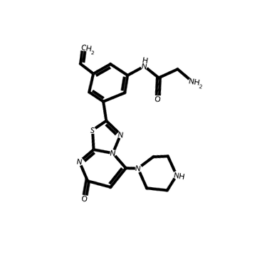 C=Cc1cc(NC(=O)CN)cc(-c2nn3c(N4CCNCC4)cc(=O)nc3s2)c1